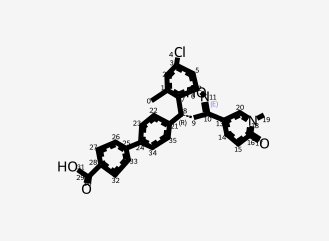 Cc1cc(Cl)ccc1[C@H](C/C(=N\O)c1ccc(=O)n(C)c1)c1ccc(-c2ccc(C(=O)O)cc2)cc1